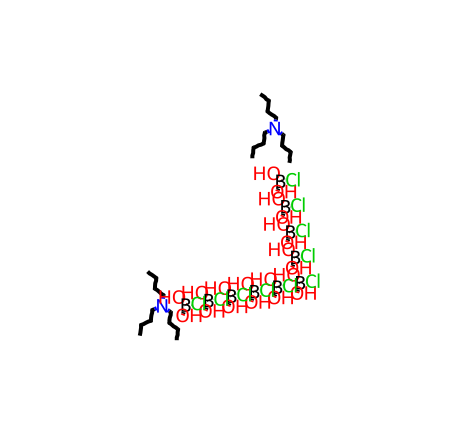 CCCCN(CCCC)CCCC.CCCCN(CCCC)CCCC.OB(O)Cl.OB(O)Cl.OB(O)Cl.OB(O)Cl.OB(O)Cl.OB(O)Cl.OB(O)Cl.OB(O)Cl.OB(O)Cl.OB(O)Cl